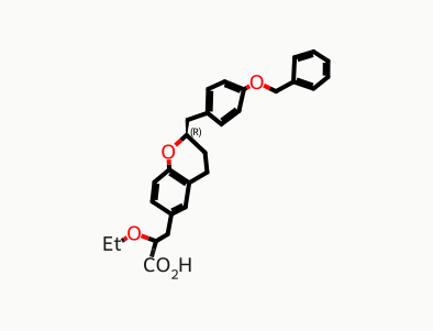 CCOC(Cc1ccc2c(c1)CC[C@H](Cc1ccc(OCc3ccccc3)cc1)O2)C(=O)O